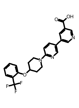 O=C(O)c1cncc(-c2ccc(N3CCC(Oc4ccccc4C(F)(F)F)CC3)nc2)c1